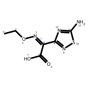 CCO/N=C(\C(=O)O)c1nsc(N)n1